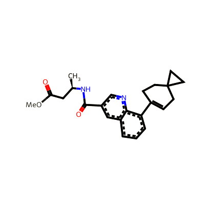 COC(=O)C[C@@H](C)NC(=O)c1cnc2c(C3=CCC4(CC3)CC4)cccc2c1